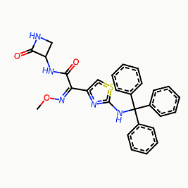 CON=C(C(=O)NC1CNC1=O)c1csc(NC(c2ccccc2)(c2ccccc2)c2ccccc2)n1